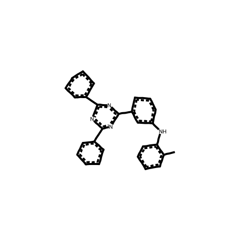 Cc1ccccc1Nc1cccc(-c2nc(-c3ccccc3)nc(-c3ccccc3)n2)c1